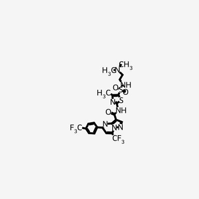 Cc1nc(NC(=O)c2cnn3c(C(F)(F)F)cc(-c4ccc(C(F)(F)F)cc4)nc23)sc1S(=O)(=O)NCCN(C)C